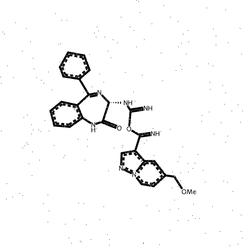 COCc1ccn2ncc(C(=N)OC(=N)N[C@H]3N=C(c4ccccc4)c4ccccc4NC3=O)c2c1